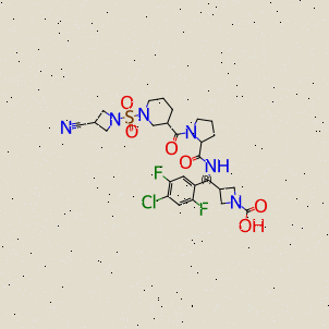 N#CC1CN(S(=O)(=O)N2CCCC(C(=O)N3CCCC3C(=O)N[C@@H](c3cc(F)c(Cl)cc3F)C3CN(C(=O)O)C3)C2)C1